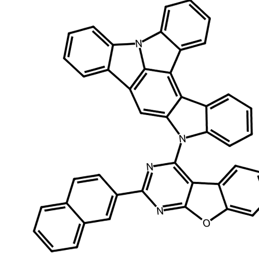 c1ccc2cc(-c3nc(-n4c5ccccc5c5c6c7ccccc7n7c8ccccc8c(cc54)c67)c4c(n3)oc3ccccc34)ccc2c1